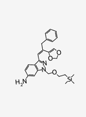 C[Si](C)(C)CCOCn1nc(C=C(Cc2ccccc2)C2=COCO2)c2ccc(N)cc21